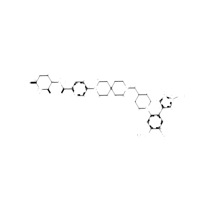 COc1cc(N2CCC(CN3CCC4(CC3)CCN(c3ccc(C(=O)NC5CCC(=O)NC5=O)nc3)CC4)CC2)c(-c2cnn(C)c2)cc1N